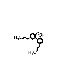 CC=CCc1ccc(O)c(-c2cc(CC=CC)ccc2O)c1